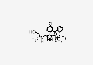 C#CCC(C)NCc1nnc(CN(C)C)n1-c1ccc(Cl)cc1C(=O)c1ccccc1